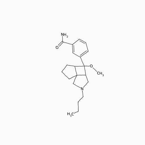 CCCCN1CC2C3(CCCC3C2(OC)c2cccc(C(N)=O)c2)C1